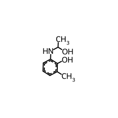 Cc1cccc(NC(C)O)c1O